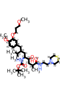 COCCCOc1cc(CC(CC(NC(=O)OC(C)(C)C)C(O)CC(C)C(=O)NCCN2CCSCC2)C(C)C)ccc1OC